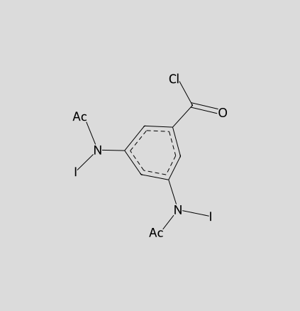 CC(=O)N(I)c1cc(C(=O)Cl)cc(N(I)C(C)=O)c1